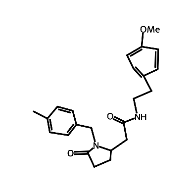 COc1ccc(CCNC(=O)CC2CCC(=O)N2Cc2ccc(C)cc2)cc1